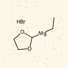 Br.C[CH2][Mg][CH]1OCCO1